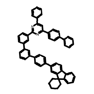 c1ccc(-c2ccc(-c3cc(-c4ccccc4)nc(-c4cccc(-c5cccc(-c6ccc(-c7ccc8c(c7)C7(CCCCC7)c7ccccc7-8)cc6)c5)c4)n3)cc2)cc1